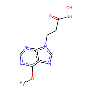 COc1ncnc2c1ncn2CCC(=O)NO